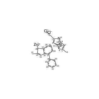 CC1=CC2=C3C(C)=C(C2=N1)[Si]3(C)C.CC1=Cc2c(-c3ccccc3)cccc2[CH]1[Zr+2].[Cl-].[Cl-]